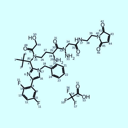 CC(C)(C)[C@H](c1nc(-c2cc(F)ccc2F)cn1Cc1ccccc1)N(CC[C@H](N)C(=O)N(N)CC(=O)NCCN1C(=O)C=CC1=O)C(=O)CO.O=C(O)C(F)(F)F